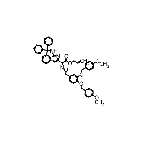 C=CCOC(=O)C(=NOCc1ccc(OCc2ccc(OC)cc2)c(OCc2ccc(OC)cc2)c1)c1csc(NC(c2ccccc2)(c2ccccc2)c2ccccc2)n1